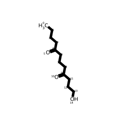 CCCCC(=O)CCCC(=O)CCCO